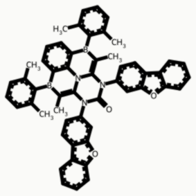 CC1=C2N(c3ccc4c(c3)oc3ccccc34)C(=O)N(c3ccc4c(c3)oc3ccccc34)C3=C(C)B(c4c(C)cccc4C)c4cccc(c4N23)B1c1c(C)cccc1C